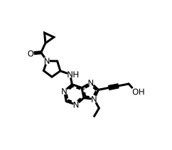 CCn1c(C#CCO)nc2c(NC3CCN(C(=O)C4CC4)C3)ncnc21